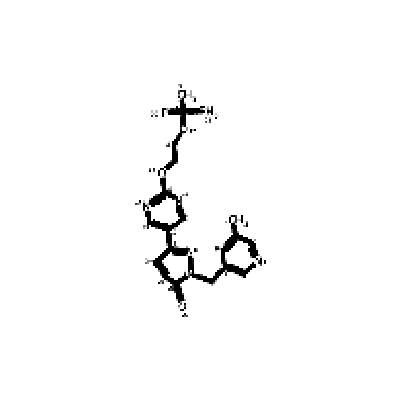 Cc1cncc(Cn2nc(-c3cnc(OCCOC(C)(F)P)nc3)ccc2=O)c1